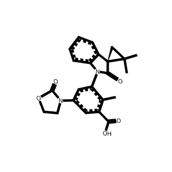 Cc1c(C(=O)O)cc(N2CCOC2=O)cc1N1C(=O)[C@]2(CC2(C)C)c2ccccc21